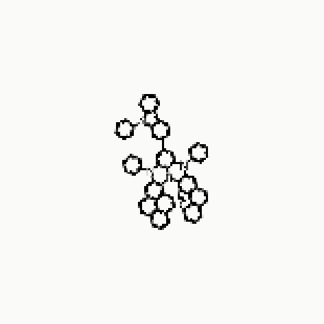 c1ccc(N2c3cc(-c4ccc5c6ccccc6n(-c6ccccc6)c5c4)cc4c3B(c3c2cc2ccc5cccc6ccc3c2c56)c2c(cc3ccc5cccc6ccc2c3c56)N4c2ccccc2)cc1